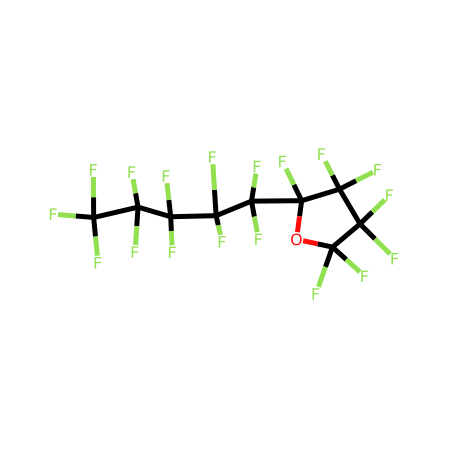 FC(F)(F)C(F)(F)C(F)(F)C(F)(F)C(F)(F)C1(F)OC(F)(F)C(F)(F)C1(F)F